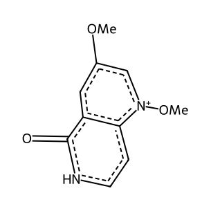 COc1cc2c(=O)[nH]ccc2[n+](OC)c1